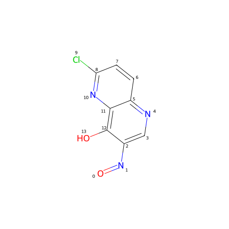 O=Nc1cnc2ccc(Cl)nc2c1O